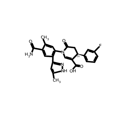 Cc1cc(-c2cc(C(N)=O)c(C)cc2N2C=C(C(=O)O)[C@H](c3cccc(F)c3)CC2=O)n[nH]1